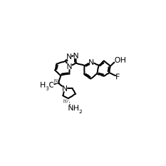 C[C@@H](c1ccc2nnc(-c3ccc4cc(F)c(O)cc4n3)n2c1)N1CC[C@H](N)C1